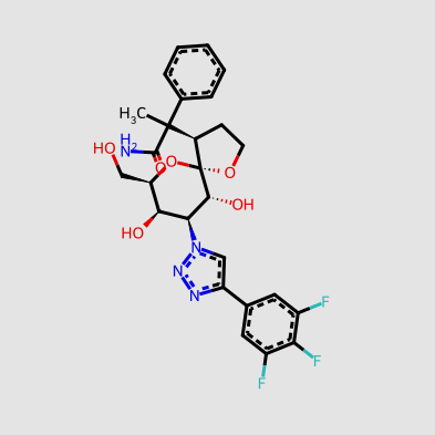 CC(C(N)=O)(c1ccccc1)[C@H]1CCO[C@]12O[C@H](CO)[C@H](O)[C@H](n1cc(-c3cc(F)c(F)c(F)c3)nn1)[C@H]2O